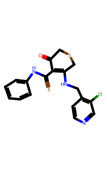 O=C1CSCC(NCc2ccncc2Cl)=C1C(=S)Nc1ccccc1